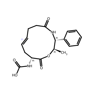 C[C@H]1OC(=O)[C@H](NC(=O)O)C/C=C/CCC(=O)N[C@@H]1c1ccccc1